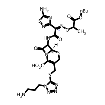 CCCCOC(=O)C(C)O/N=C(\C(=O)NC1C(=O)N2C(C(=O)O)=C(CSc3nnnn3CCCN)CS[C@H]12)c1nsc(N)n1